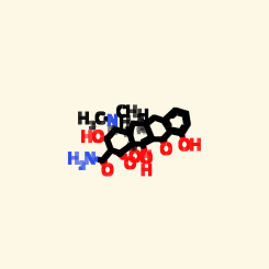 CN(C)[C@@H]1C(O)C(C(N)=O)C(=O)[C@@]2(O)C(O)=C3C(=O)c4c(O)cccc4C[C@H]3C[C@@H]12